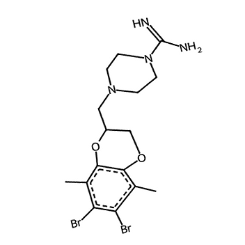 Cc1c(Br)c(Br)c(C)c2c1OCC(CN1CCN(C(=N)N)CC1)O2